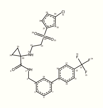 O=C(NCc1cccc(-c2ccc(C(F)(F)F)cc2)c1)C1(NCCS(=O)(=O)c2ccc(Cl)s2)CC1